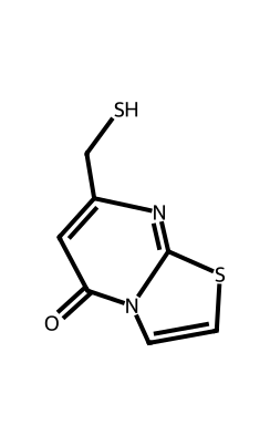 O=c1cc(CS)nc2sccn12